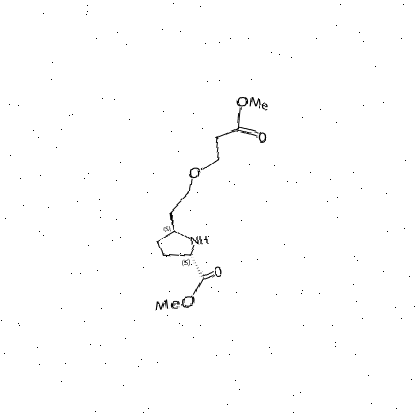 COC(=O)CCOCC[C@@H]1CC[C@@H](C(=O)OC)N1